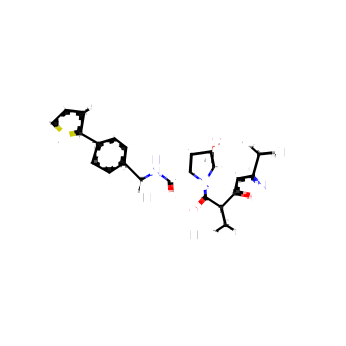 Cc1ccsc1-c1ccc([C@H](C)NC(=O)[C@@H]2C[C@@H](O)CN2C(=O)C(c2cc(C(C)C)no2)C(C)C)cc1